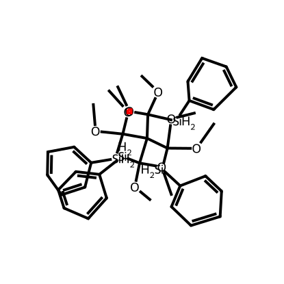 COC(OC)([SiH2]c1ccccc1)C(C(OC)(OC)[SiH2]c1ccccc1)(C(OC)(OC)[SiH2]c1ccccc1)C(OC)(OC)[SiH2]c1ccccc1